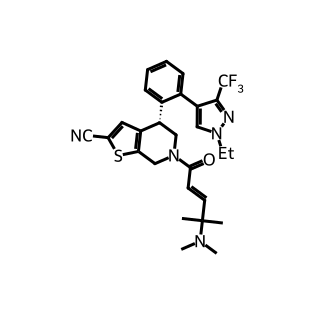 CCn1cc(-c2ccccc2[C@@H]2CN(C(=O)/C=C/C(C)(C)N(C)C)Cc3sc(C#N)cc32)c(C(F)(F)F)n1